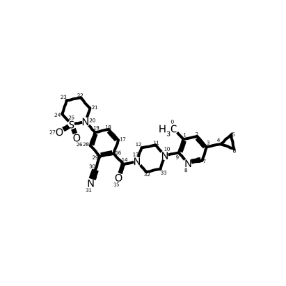 Cc1cc(C2CC2)cnc1N1CCN(C(=O)c2ccc(N3CCCCS3(=O)=O)cc2C#N)CC1